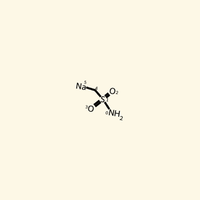 NS(=O)(=O)[CH2][Na]